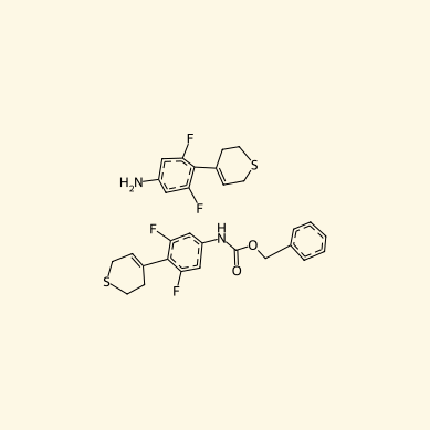 Nc1cc(F)c(C2=CCSCC2)c(F)c1.O=C(Nc1cc(F)c(C2=CCSCC2)c(F)c1)OCc1ccccc1